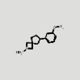 O=C(O)N1CC2(CCC(c3cccc(OC(F)(F)F)c3)C2)C1